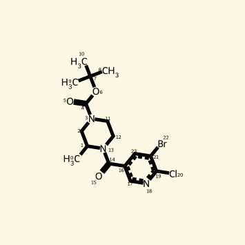 CC1CN(C(=O)OC(C)(C)C)CCN1C(=O)c1cnc(Cl)c(Br)c1